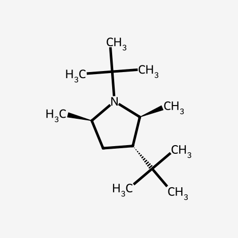 C[C@@H]1C[C@@H](C(C)(C)C)[C@H](C)N1C(C)(C)C